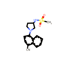 CS(=O)(=O)NC1CCN(c2ccc(C#N)c3ccccc23)C1